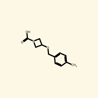 Cc1ccc(COC2CN(C(=O)O)C2)cc1